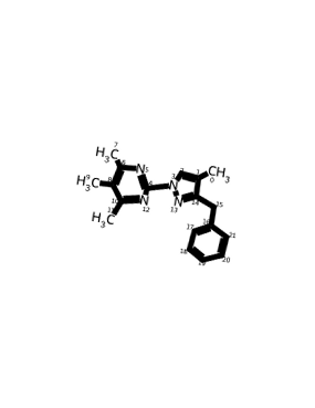 Cc1cn(-c2nc(C)c(C)c(C)n2)nc1Cc1ccccc1